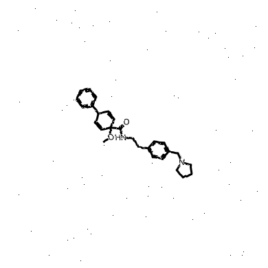 COC1(C(=O)NCCc2ccc(CN3CCCC3)cc2)C=CC(c2ccccc2)C=C1